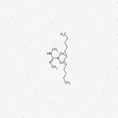 CCCCCCCCCCCC.CN=C(NC)N(C)C